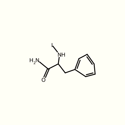 NC(=O)C(Cc1ccccc1)NI